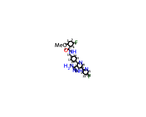 COc1ccc(F)cc1C(=O)NCc1ccc(-c2ncc(-c3ccc(F)cn3)c3[nH]nc(N)c23)cc1